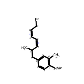 CNc1ccc(CC(C)/C=C\C=C/CF)cc1C